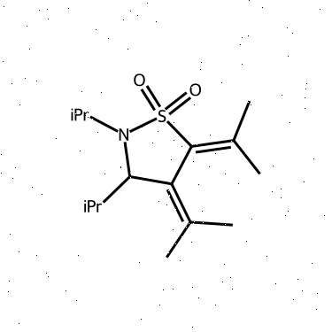 CC(C)=C1C(=C(C)C)S(=O)(=O)N(C(C)C)C1C(C)C